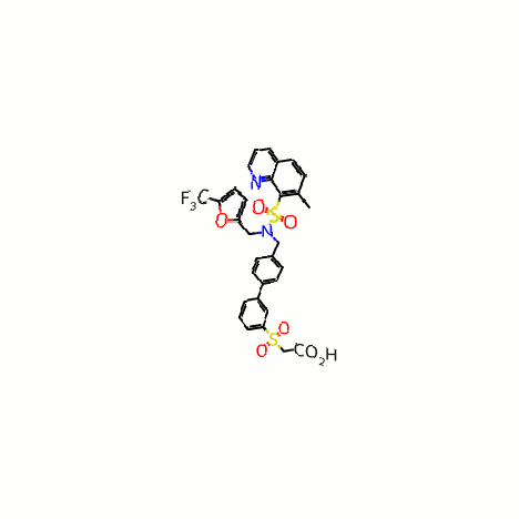 Cc1ccc2cccnc2c1S(=O)(=O)N(Cc1ccc(-c2cccc(S(=O)(=O)CC(=O)O)c2)cc1)Cc1ccc(C(F)(F)F)o1